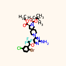 CCOC(=O)[C@@H]1CC2(CCN(c3cc(O[C@H](c4cc(Cl)ccc4Br)C(F)(F)F)nc(N)n3)CC2)CN1C(=O)OC(C)(C)C